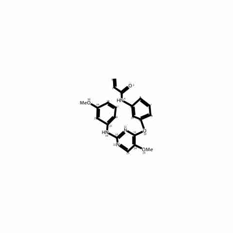 C=CC(=O)Nc1cccc(Oc2nc(Nc3cccc(OC)c3)ncc2OC)c1